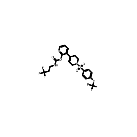 O=C(NCCC(F)(F)F)Oc1ncccc1C1=CCN(S(=O)(=O)c2ccc(OC(F)(F)F)cc2)CC1